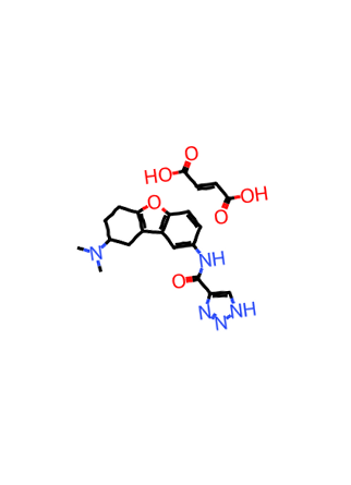 CN(C)C1CCc2oc3ccc(NC(=O)c4c[nH]nn4)cc3c2C1.O=C(O)C=CC(=O)O